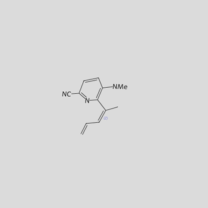 C=C/C=C(/C)c1nc(C#N)ccc1NC